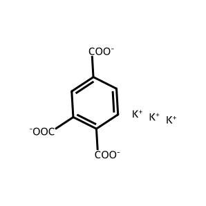 O=C([O-])c1ccc(C(=O)[O-])c(C(=O)[O-])c1.[K+].[K+].[K+]